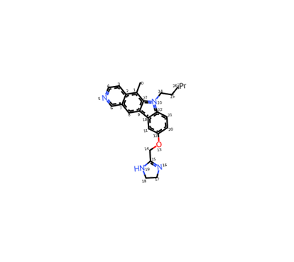 Cc1c2ccncc2cc2c3cc(OCC4=NCCN4)ccc3n(CCC(C)C)c12